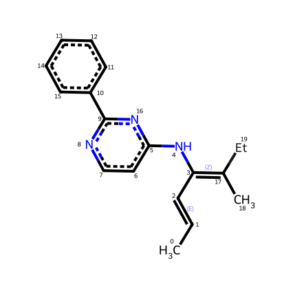 C/C=C/C(Nc1ccnc(-c2ccccc2)n1)=C(\C)CC